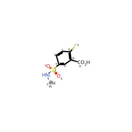 CC[C@@H](C)NS(=O)(=O)c1ccc(F)c(C(=O)O)c1